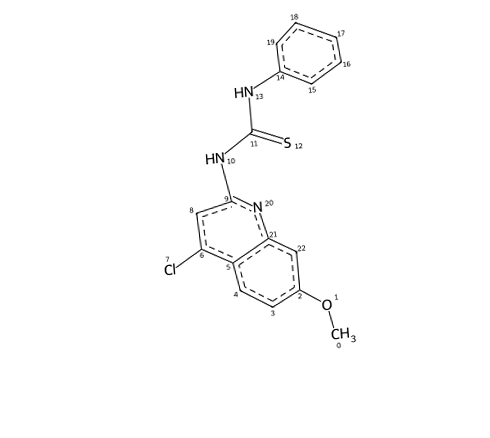 COc1ccc2c(Cl)cc(NC(=S)Nc3ccccc3)nc2c1